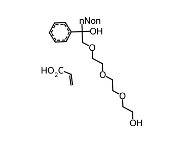 C=CC(=O)O.CCCCCCCCCC(O)(COCCOCCOCCO)c1ccccc1